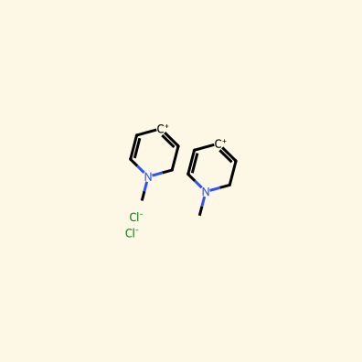 CN1C=C[C+]=CC1.CN1C=C[C+]=CC1.[Cl-].[Cl-]